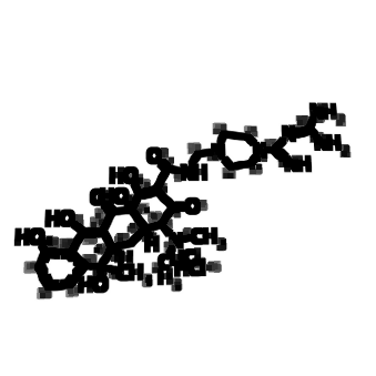 CN(C)[C@@H]1C(=O)C(C(=O)NCN2CCN(C(=N)N=C(N)N)CC2)=C(O)[C@@]2(O)C(=O)C3=C(O)c4c(O)cccc4[C@@](C)(O)[C@H]3C[C@@H]12.Cl.Cl